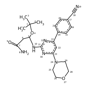 CC(C)(C)OC(CC(N)=O)Nc1nc(-c2ccc(C#N)cc2)cc(N2CCOCC2)n1